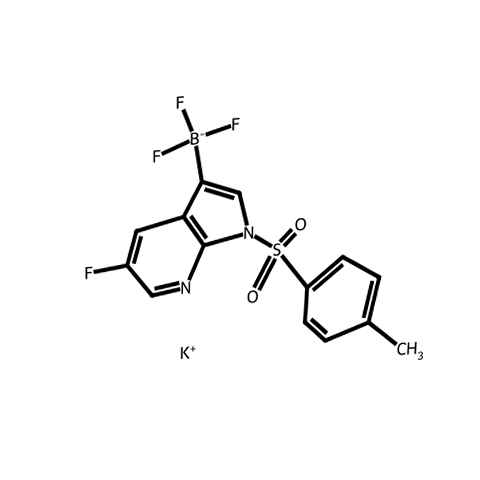 Cc1ccc(S(=O)(=O)n2cc([B-](F)(F)F)c3cc(F)cnc32)cc1.[K+]